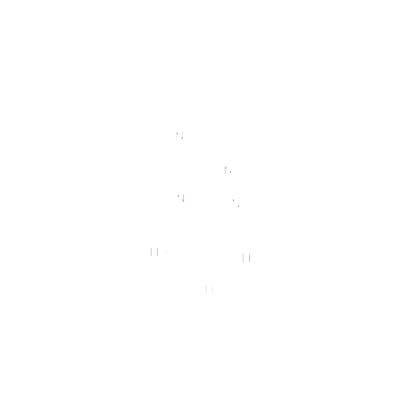 CC(C)(C)c1nc2n(n1)CCCN2